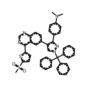 CN(C)c1ccc(-c2nn(C(c3ccccc3)(c3ccccc3)c3ccccc3)cc2-c2ccc3ncnc(-c4ccc(S(C)(=O)=O)s4)c3c2)cc1